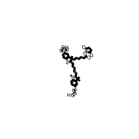 CN1\C(=C/C=C/C=C/C2=[N+](C)c3ccc(SOOO)cc3C2(C)C)C(C)(CCCCCC(=O)ON2C(=O)CCC2=O)c2cc(S(=O)(=O)O)ccc21